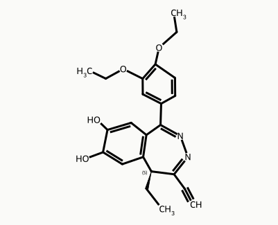 C#CC1=NN=C(c2ccc(OCC)c(OCC)c2)c2cc(O)c(O)cc2[C@@H]1CC